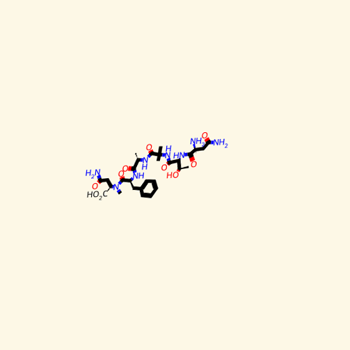 C[C@H](NC(=O)C(C)(C)NC(=O)[C@@H](NC(=O)[C@@H](N)CC(N)=O)[C@@H](C)O)C(=O)N[C@@H](Cc1ccccc1)C(=O)N(C)[C@@H](CC(N)=O)C(=O)O